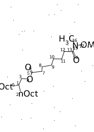 CCCCCCCCC(CCCCCCCC)COC(=O)CCCCCCC(=O)N(C)OC